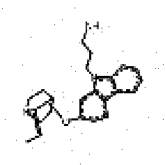 CC=C1C(Oc2ccc3c4ccccc4n(CCCN)c3c2)C2CCN1CC2